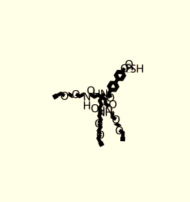 C#CCOCCOCCNC(=O)CCC(CCC(=O)NCCOCCOCC#C)(CCC(=O)NCCOCCOCC#C)NC(=O)c1ccc(-c2ccc(OP(C)(=O)S)cc2)cc1